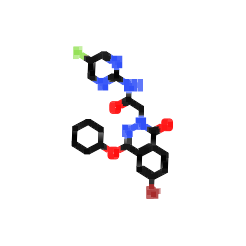 O=C(Cn1nc(OC2CCCCC2)c2cc(Br)ccc2c1=O)Nc1ncc(F)cn1